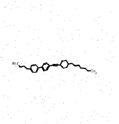 CCCCCCCC1CCC(C#Cc2ccc(-c3ccc(CCCC)cc3)cc2)CC1